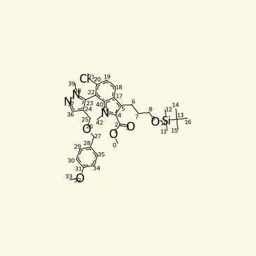 COC(=O)c1c(CCCO[Si](C)(C)C(C)(C)C)c2ccc(Cl)c(-c3c(COCc4ccc(OC)cc4)cnn3C)c2n1C